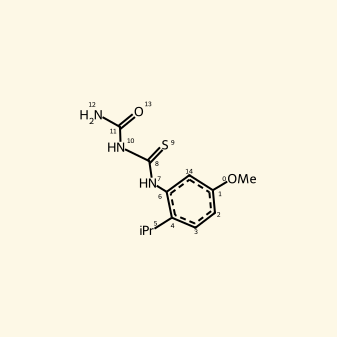 COc1ccc(C(C)C)c(NC(=S)NC(N)=O)c1